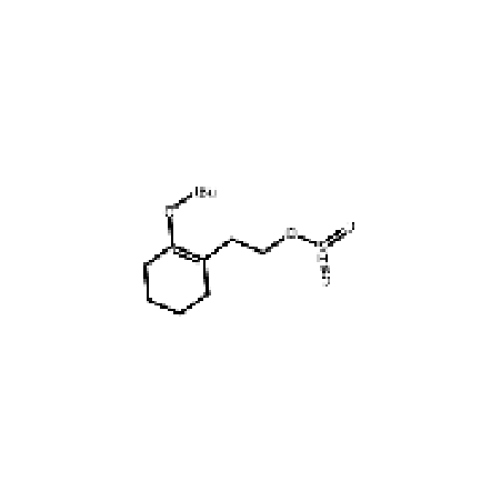 CC(C)(C)OC1=C(CCO[SH](=O)=O)CCCC1